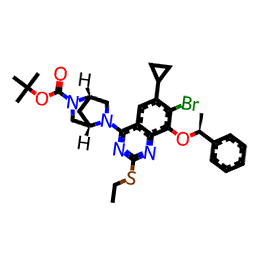 CCSc1nc(N2C[C@@H]3C[C@H]2CN3C(=O)OC(C)(C)C)c2cc(C3CC3)c(Br)c(O[C@@H](C)c3ccccc3)c2n1